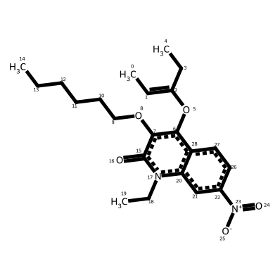 CC=C(CC)Oc1c(OCCCCCC)c(=O)n(CC)c2cc([N+](=O)[O-])ccc12